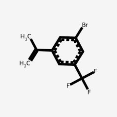 C=C(C)c1cc(Br)cc(C(F)(F)F)c1